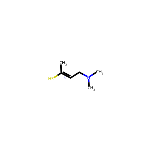 C/C(S)=C\CN(C)C